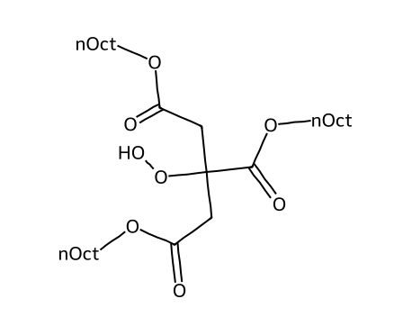 CCCCCCCCOC(=O)CC(CC(=O)OCCCCCCCC)(OO)C(=O)OCCCCCCCC